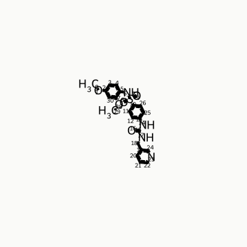 COc1ccc(NS(=O)(=O)c2ccc(NC(=O)NCc3cccnc3)cc2)c(OC)c1